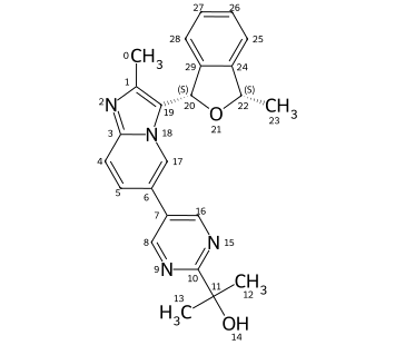 Cc1nc2ccc(-c3cnc(C(C)(C)O)nc3)cn2c1[C@H]1O[C@@H](C)c2ccccc21